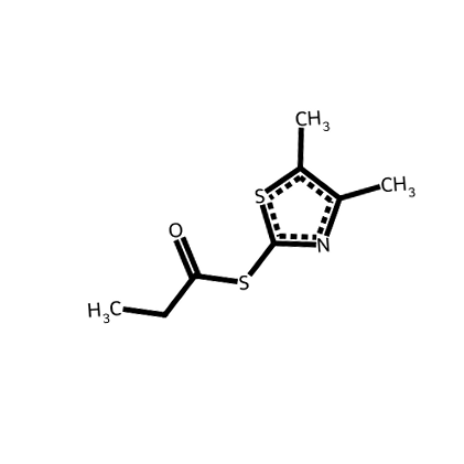 CCC(=O)Sc1nc(C)c(C)s1